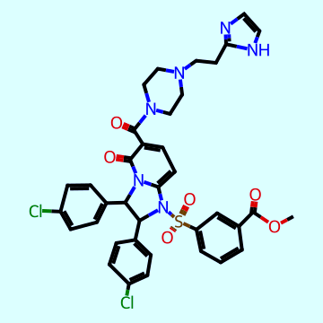 COC(=O)c1cccc(S(=O)(=O)N2c3ccc(C(=O)N4CCN(CCc5ncc[nH]5)CC4)c(=O)n3C(c3ccc(Cl)cc3)C2c2ccc(Cl)cc2)c1